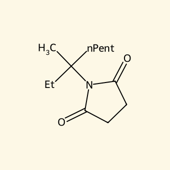 CCCCCC(C)(CC)N1C(=O)CCC1=O